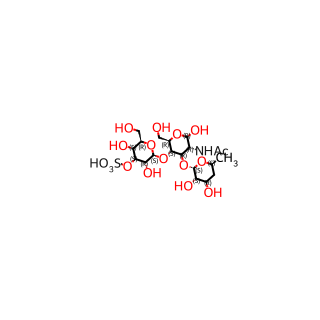 CC(=O)N[C@@H]1[C@@H](O[C@@H]2O[C@@H](C)C[C@@H](O)[C@@H]2O)[C@H](O[C@@H]2O[C@H](CO)[C@H](O)[C@H](OS(=O)(=O)O)[C@H]2O)[C@@H](CO)O[C@H]1O